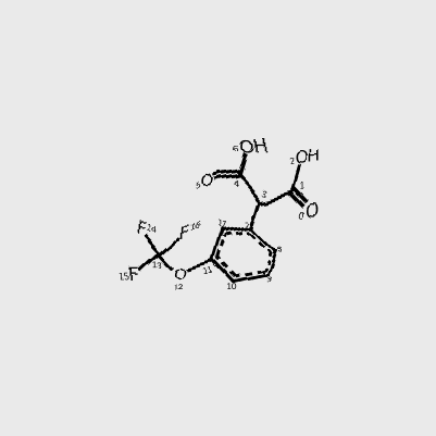 O=C(O)C(C(=O)O)c1cccc(OC(F)(F)F)c1